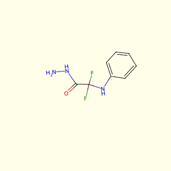 NNC(=O)C(F)(F)Nc1ccccc1